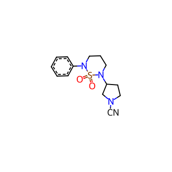 N#CN1CCC(N2CCCN(c3ccccc3)S2(=O)=O)C1